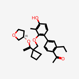 C=C(O[C@H]1CCOC1)C1(COc2c(-c3ccc(C(C)=O)c(CC)c3)ccc(O)c2C)CCC1